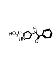 O=C(N[C@H]1CN[C@H](C(=O)O)C1)c1ccccc1